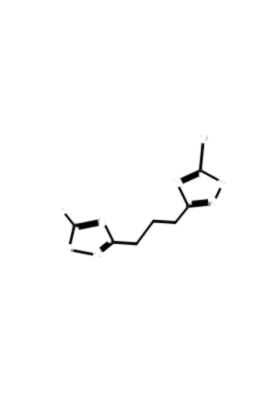 Nc1nc(CCCc2n[nH]c(N)n2)n[nH]1